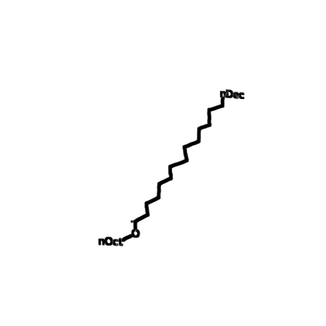 CCCCCCCCCCCCCCCCCCCCCCC[CH]OCCCCCCCC